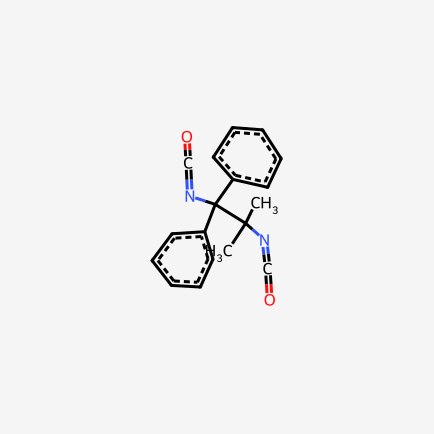 CC(C)(N=C=O)C(N=C=O)(c1ccccc1)c1ccccc1